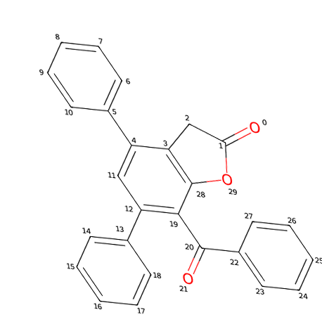 O=C1Cc2c(-c3ccccc3)cc(-c3ccccc3)c(C(=O)c3ccccc3)c2O1